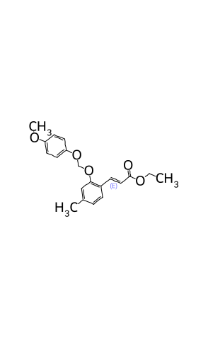 CCOC(=O)/C=C/c1ccc(C)cc1OCOc1ccc(OC)cc1